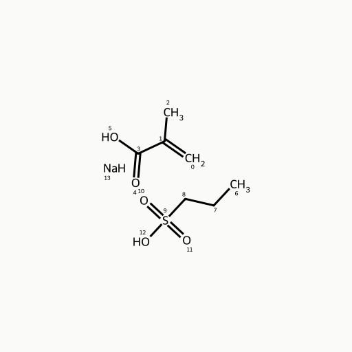 C=C(C)C(=O)O.CCCS(=O)(=O)O.[NaH]